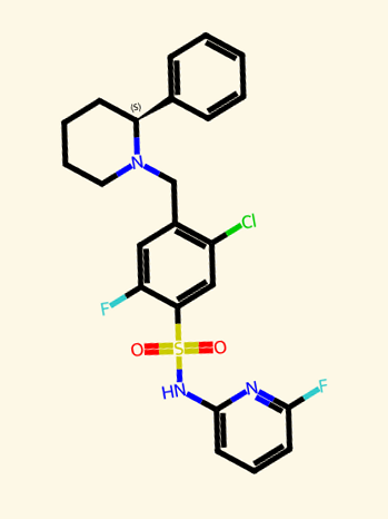 O=S(=O)(Nc1cccc(F)n1)c1cc(Cl)c(CN2CCCC[C@H]2c2ccccc2)cc1F